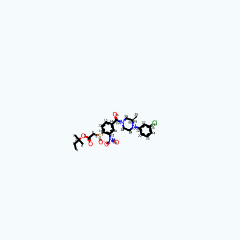 CCC(C)(C)OC(=O)C[S+]([O-])c1ccc(C(=O)N2CCN(c3cccc(Cl)c3)[C@H](C)C2)cc1[N+](=O)[O-]